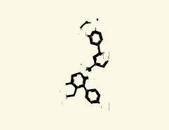 Cc1cc2nc(-c3ccnc(-c4ccc5c(c4)OCCN5C)c3)sc2c(-c2ccc(Cl)cc2)c1CC(=O)O